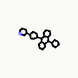 c1ccc(-c2c3ccccc3c(-c3ccc(-c4cccnc4)cc3)c3ccccc23)cc1